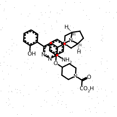 Nc1nnc(-c2ccccc2O)cc1N1C[C@H]2CC[C@@H](C1)N2c1cccc(OC2CCN(C(=O)C(=O)O)CC2)c1